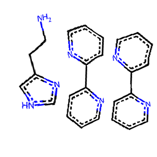 NCCc1c[nH]cn1.c1ccc(-c2ccccn2)nc1.c1ccc(-c2ccccn2)nc1